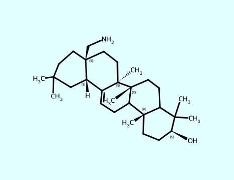 CC1(C)CC[C@]2(CN)CC[C@]3(C)C(=CCC4[C@@]5(C)CC[C@H](O)C(C)(C)C5CC[C@]43C)[C@@H]2C1